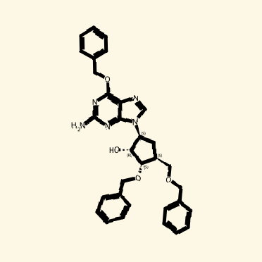 Nc1nc(OCc2ccccc2)c2ncn([C@H]3C[C@@H](COCc4ccccc4)[C@H](OCc4ccccc4)[C@@H]3O)c2n1